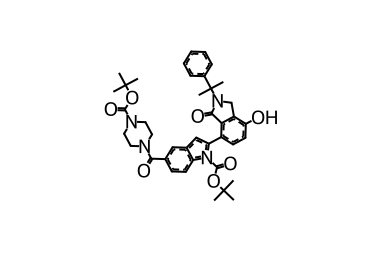 CC(C)(C)OC(=O)N1CCN(C(=O)c2ccc3c(c2)cc(-c2ccc(O)c4c2C(=O)N(C(C)(C)c2ccccc2)C4)n3C(=O)OC(C)(C)C)CC1